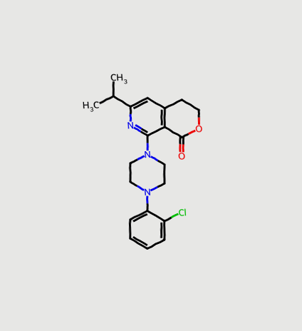 CC(C)c1cc2c(c(N3CCN(c4ccccc4Cl)CC3)n1)C(=O)OCC2